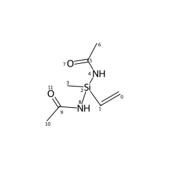 C=C[Si](C)(NC(C)=O)NC(C)=O